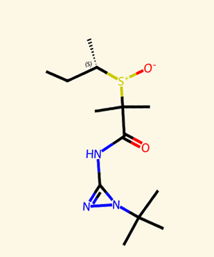 CC[C@H](C)[S+]([O-])C(C)(C)C(=O)NC1=NN1C(C)(C)C